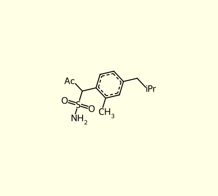 CC(=O)C(c1ccc(CC(C)C)cc1C)S(N)(=O)=O